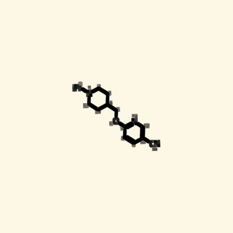 CC(C)N1CCC(COc2ccc(C#N)cn2)CC1